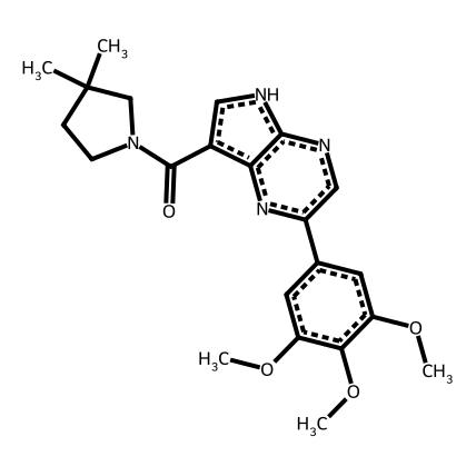 COc1cc(-c2cnc3[nH]cc(C(=O)N4CCC(C)(C)C4)c3n2)cc(OC)c1OC